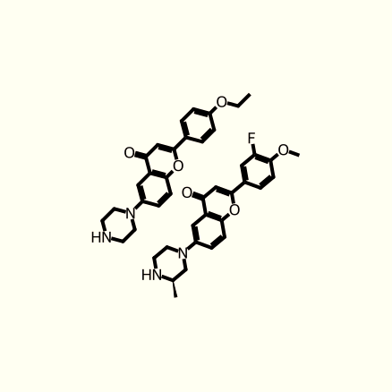 CCOc1ccc(-c2cc(=O)c3cc(N4CCNCC4)ccc3o2)cc1.COc1ccc(-c2cc(=O)c3cc(N4CCN[C@H](C)C4)ccc3o2)cc1F